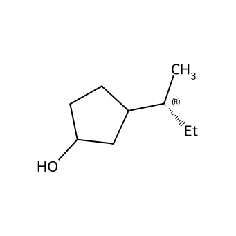 CC[C@@H](C)C1CCC(O)C1